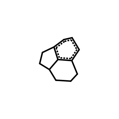 c1cc2c3c(c1)CCC3CCC2